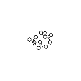 c1ccc(-c2nnc(-c3cccc4c3c3ccccc3n4-c3cccc(-c4cccc(-n5c6ccccc6c6c7oc8ccccc8c7ccc65)c4)c3)n2-c2ccccc2)cc1